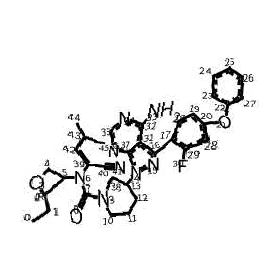 CC[C@H]1OCC1N(C(=O)N1CCCC(n2nc(-c3ccc(Oc4ccccc4)cc3F)c3c(N)ncnc32)C1)C(C#N)=CC(C)C